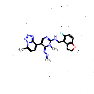 C=N/N=c1/c(-c2ccc(C)n3nnnc23)cnc(NCc2c(F)ccc3c2CCO3)n1C